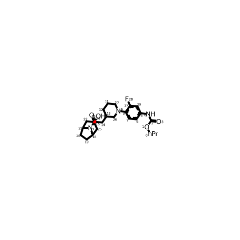 CCCOC(=O)Nc1ccc(N2CCCC(CC(=O)N3C4CCC3CC(O)C4)C2)c(F)c1